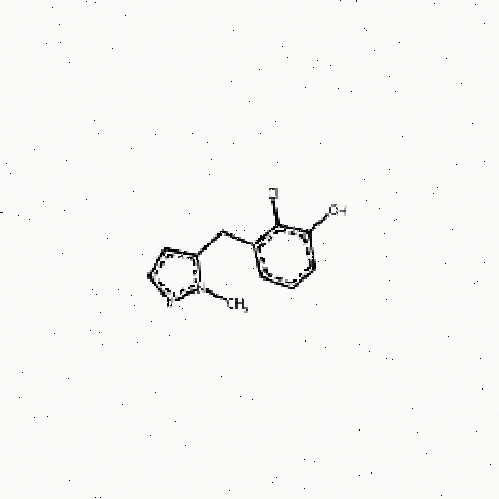 Cn1nccc1Cc1cccc(O)c1Cl